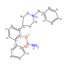 NC(=O)Oc1c(-c2ccccc2)cccc1C1CCN(Cc2ccccc2)CC1